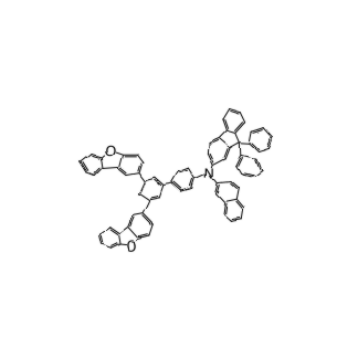 c1ccc(C2(c3ccccc3)c3ccccc3-c3ccc(N(c4ccc(-c5cc(-c6ccc7oc8ccccc8c7c6)cc(-c6ccc7oc8ccccc8c7c6)c5)cc4)c4ccc5ccccc5c4)cc32)cc1